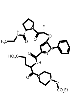 CCOC(=O)ON1CCN(C(=O)C(CCC(=O)O)NC(=O)c2cc(O[C@@H](C)C(=O)N3CCC[C@H]3C(=O)NCC(F)(F)F)n(-c3ccccc3)n2)CC1